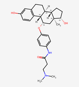 CN(C)CCC(=O)Nc1ccc(O[C@H]2C[C@]3(C)[C@@H](O)CC[C@H]3[C@@H]3CCc4cc(O)ccc4[C@H]32)cc1